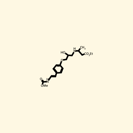 CCOC(=O)CC(C)NCC(O)COc1ccc(/C=C/NC(=O)OC)cc1